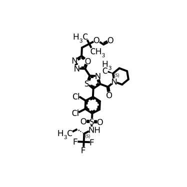 CC[C@H](NS(=O)(=O)c1ccc(-c2sc(-c3nnc(CC(C)(C)OC=O)o3)nc2C(=O)N2CCCC[C@@H]2C)c(Cl)c1Cl)C(F)(F)F